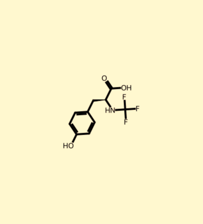 O=C(O)[C@H](Cc1ccc(O)cc1)NC(F)(F)F